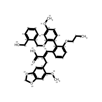 CCCOc1cccc(/C=C(\Cc2cc3c(cc2OC)OCO3)C(=O)O)c1-c1ccc(OC)cc1OCc1ccccc1CO